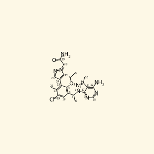 CCOc1c(C(C)n2nc(C)c3c(N)ncnc32)cc(Cl)c(C)c1-c1cnn(CC(N)=O)c1